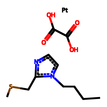 CCCCn1ccnc1CSC.O=C(O)C(=O)O.[Pt]